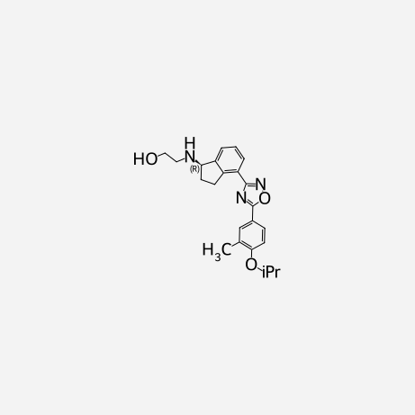 Cc1cc(-c2nc(-c3cccc4c3CC[C@H]4NCCO)no2)ccc1OC(C)C